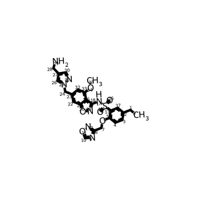 CCc1ccc(OCc2ncon2)c(S(=O)(=O)Nc2noc3cc(Cn4cc(CN)cn4)cc(OC)c23)c1